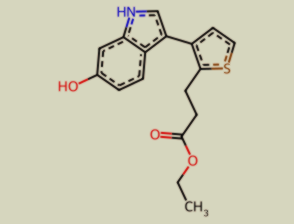 CCOC(=O)CCc1sccc1-c1c[nH]c2cc(O)ccc12